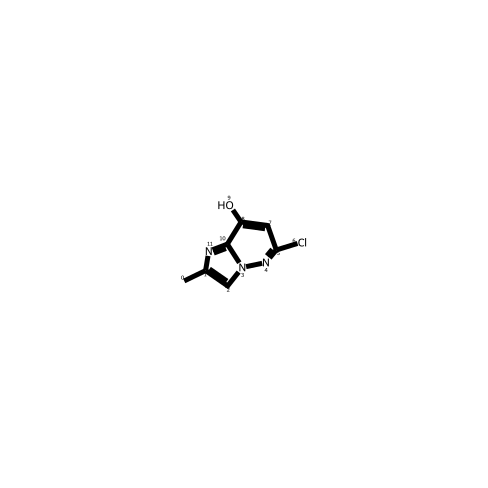 Cc1cn2nc(Cl)cc(O)c2n1